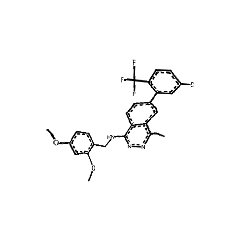 COc1ccc(CNc2nnc(C)c3cc(-c4cc(Cl)ccc4C(F)(F)F)ccc23)c(OC)c1